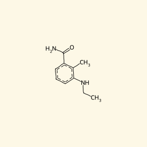 CCNc1cccc(C(N)=O)c1C